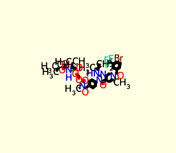 C=C[C@H](C)Nc1nc2c(c(=O)n1-c1ccc(C(=O)N(C)C(=O)OCOC(=O)[C@H](NC(=O)OC(C)(C)C)C(C)C)cc1)C[C@@H](C)N(C(=O)c1ccc(Br)c(C(F)(F)F)c1)C2